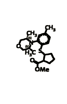 COC(=O)C1CCCC1Sc1ccc(C)cc1N1[C@@H](C)COC[C@@H]1C